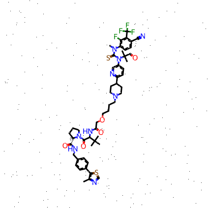 Cc1ncsc1-c1ccc(CNC(=O)[C@@H]2CCCN2C(=O)C(NC(=O)COCCCCN2CCC(c3ccc(N(C(=S)N(C)c4ccc(C#N)c(C(F)(F)F)c4F)C(C)(C)C=O)cn3)CC2)C(C)(C)C)cc1